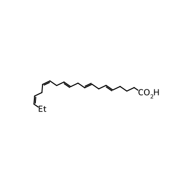 CC/C=C\C/C=C\CC=CCC=CCC=CCCCC(=O)O